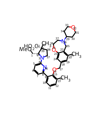 COC[C@H]1N(c2cccc(-c3cccc(C)c3OCc3cc(C)c4c(c3)OCCN(C3CCOCC3)C4)n2)CC[C@@]1(C)C(=O)O